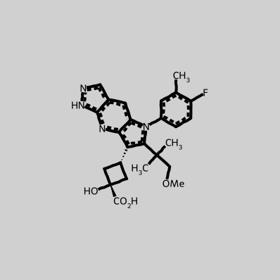 COCC(C)(C)c1c([C@H]2C[C@](O)(C(=O)O)C2)c2nc3[nH]ncc3cc2n1-c1ccc(F)c(C)c1